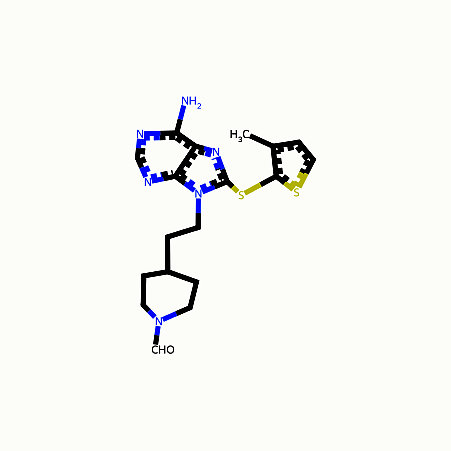 Cc1ccsc1Sc1nc2c(N)ncnc2n1CCC1CCN(C=O)CC1